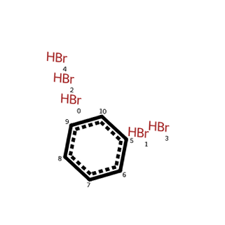 Br.Br.Br.Br.Br.c1ccccc1